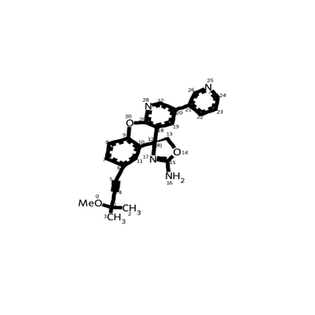 COC(C)(C)C#Cc1ccc2c(c1)[C@]1(COC(N)=N1)c1cc(-c3cccnc3)cnc1O2